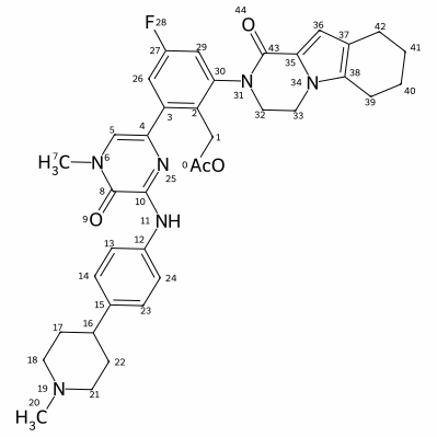 CC(=O)OCc1c(-c2cn(C)c(=O)c(Nc3ccc(C4CCN(C)CC4)cc3)n2)cc(F)cc1N1CCn2c(cc3c2CCCC3)C1=O